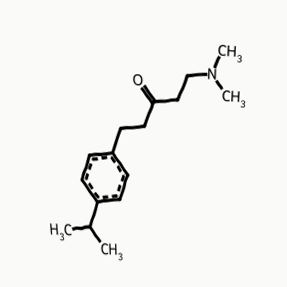 CC(C)c1ccc(CCC(=O)CCN(C)C)cc1